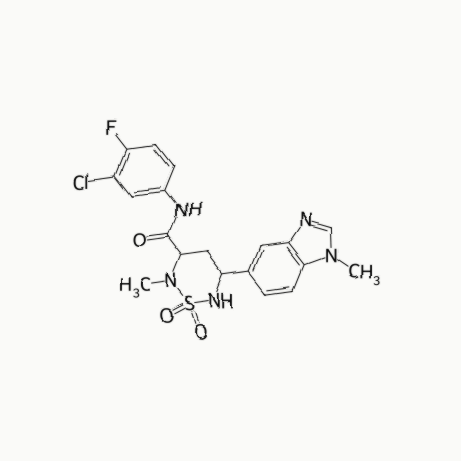 CN1C(C(=O)Nc2ccc(F)c(Cl)c2)CC(c2ccc3c(c2)ncn3C)NS1(=O)=O